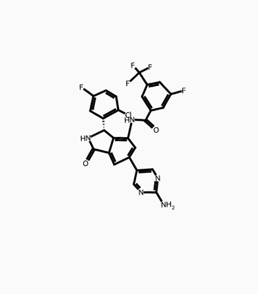 Nc1ncc(-c2cc(NC(=O)c3cc(F)cc(C(F)(F)F)c3)c3c(c2)C(=O)N[C@@H]3c2cc(F)ccc2Cl)cn1